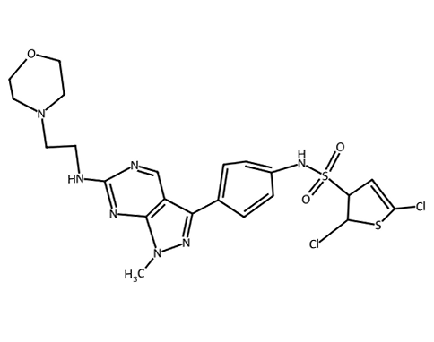 Cn1nc(-c2ccc(NS(=O)(=O)C3C=C(Cl)SC3Cl)cc2)c2cnc(NCCN3CCOCC3)nc21